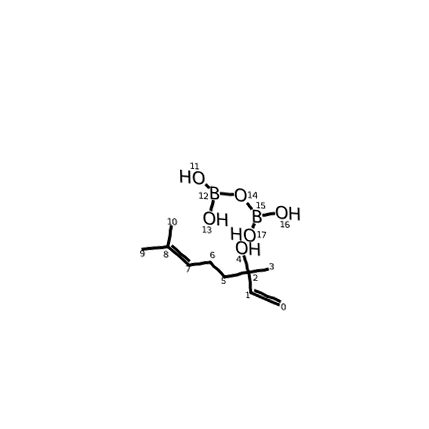 C=CC(C)(O)CCC=C(C)C.OB(O)OB(O)O